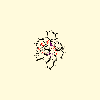 CC(=O)[O][Ru]([CH]=O)([CH]=O)([O]C(C)=O)([PH](c1ccccc1)(c1ccccc1)c1ccccc1)[PH](c1ccccc1)(c1ccccc1)c1ccccc1